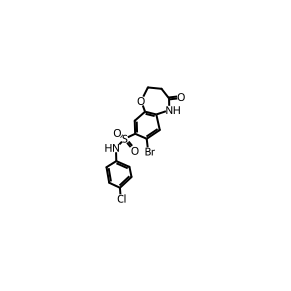 O=C1CCOc2cc(S(=O)(=O)Nc3ccc(Cl)cc3)c(Br)cc2N1